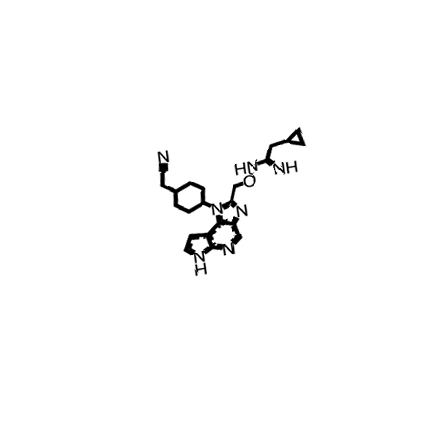 N#CCC1CCC(n2c(CONC(=N)CC3CC3)nc3cnc4[nH]ccc4c32)CC1